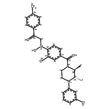 C[C@H]1[C@H](C)N(c2cccc(Cl)c2)CCN1C(=O)c1ccc([S+]([O-])CC(=O)c2ccc(C(F)(F)F)cc2)c(Cl)c1